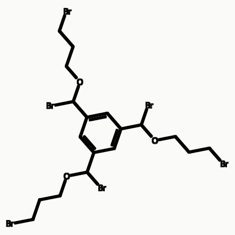 BrCCCOC(Br)c1cc(C(Br)OCCCBr)cc(C(Br)OCCCBr)c1